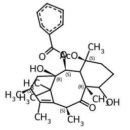 CC(=O)O[C@@]1(C)CCC(O)[C@]2(C)C(=O)[C@@H](C)C3=C(C)[C@@H](C)C[C@](O)([C@@H](OC(=O)c4ccccc4)C21)C3(C)C